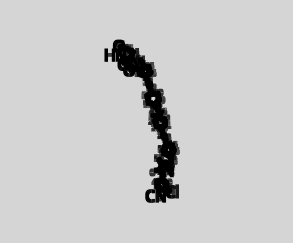 Cc1c(-c2ccc(C#N)c(Cl)c2)nn(Cc2ccc(C#CC3CCC4(CC3)CN(C3CCC(C#Cc5ccc6c(c5)C(=O)N(C5CCC(=O)NC5=O)C6)CC3)C4)cc2)c1C